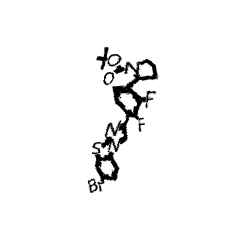 CC(C)(C)OC(=O)N1CCCC1c1ccc(-c2cn3c(n2)sc2cc(Br)ccc23)c(F)c1F